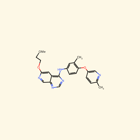 COCCOc1cc2c(Nc3ccc(Oc4ccc(C)nc4)c(C)c3)ncnc2cn1